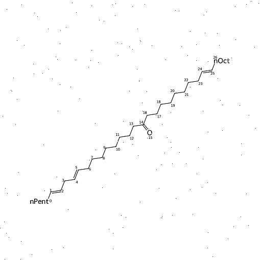 CCCCCC=CCC=CCCCCCCCCC(=O)CCCCCCCCC=CCCCCCCCC